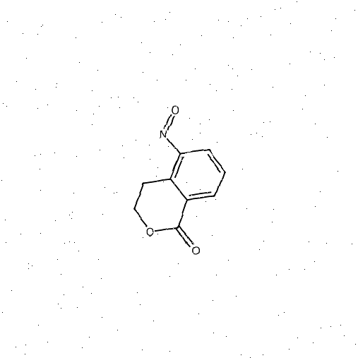 O=Nc1cccc2c1CCOC2=O